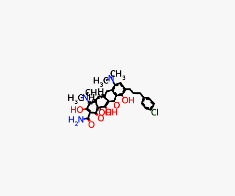 CN(C)c1cc(CCCc2ccc(Cl)cc2)c(O)c2c1C[C@H]1C[C@H]3[C@H](N(C)C)C(O)=C(C(N)=O)C(=O)[C@@]3(O)C(O)=C1C2=O